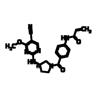 C=CC(=O)Nc1ccc(C(=O)N2CC[C@@H](Nc3ncc(C#N)c(OC)n3)C2)cc1